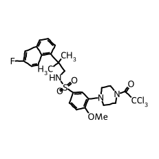 COc1ccc(S(=O)(=O)NCC(C)(C)c2cccc3cc(F)ccc23)cc1N1CCN(C(=O)C(Cl)(Cl)Cl)CC1